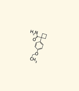 CCOc1ccc(C2(C(N)=O)CCC2)cc1